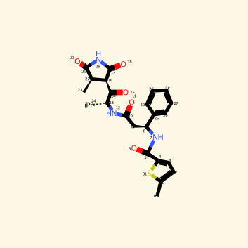 Cc1ccc(C(=O)N[C@@H](CC(=O)N[C@@H](C(=O)[C@@H]2C(=O)NC(=O)[C@@H]2C)C(C)C)c2ccccc2)s1